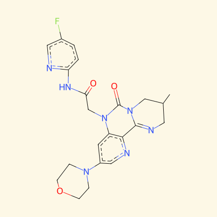 CC1CN=C2c3ncc(N4CCOCC4)cc3N(CC(=O)Nc3ccc(F)cn3)C(=O)N2C1